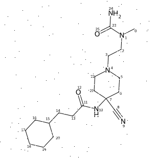 CN(CCN1CCC(C#N)(NC(=O)[CH]CC2CCCCC2)CC1)C(N)=O